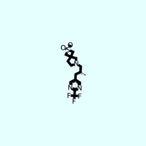 C[C@H](Cc1cnc(C(F)(F)F)nc1)CN1CCC2(C1)CS(=O)(=O)C2